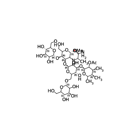 CO[C@H]1OC(CO)[C@H](O[C@H]2OC(CO)[C@@H](O)[C@H](O)C2O)[C@H](O[C@@H]2OC(CO[C@H]3OC(CO)[C@@H](O)[C@H](O)C3O)[C@@H](O)[C@H](O[C@@H]3OC(C)[C@H](C)[C@H](C)C3OC(C)=O)C2O)C1NC(C)C(N)=O